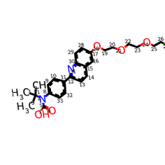 CC(C)(C)N(C(=O)O)c1ccc(-c2ccc3cc(OCCOCCOCCF)ccc3n2)cc1